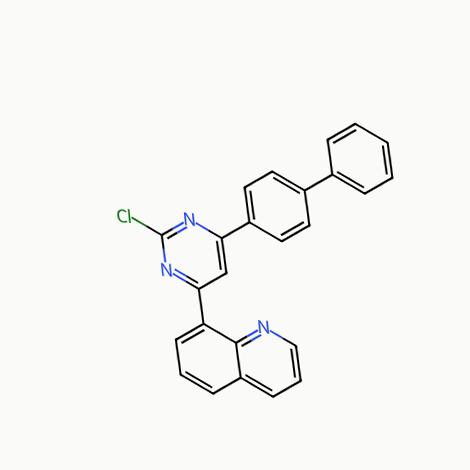 Clc1nc(-c2ccc(-c3ccccc3)cc2)cc(-c2cccc3cccnc23)n1